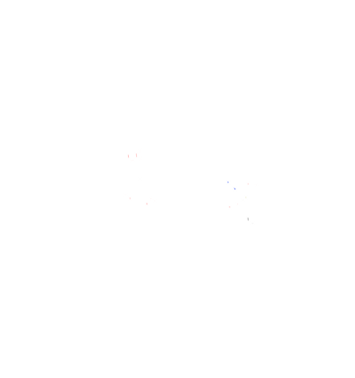 [CH]=CS(=O)(=O)Nc1cccc(CCCc2c(O)c3ccccc3oc2=O)c1